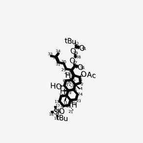 CC(=O)O[C@H]1C[C@@]2(C)[C@@H](C[C@@H](O)[C@H]3[C@@]4(C)CC[C@@H](O[Si](C)(C)C(C)(C)C)[C@@H](C)[C@@H]4CC[C@@]32C)/C1=C(\CCC=C(C)C)C(=O)OCOC(=O)C(C)(C)C